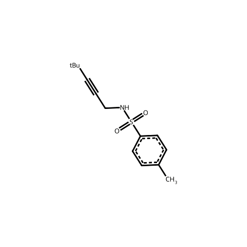 Cc1ccc(S(=O)(=O)NCC#CC(C)(C)C)cc1